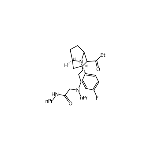 CCCNC(=O)CN(CCC)CCCN1C2CC[C@@H]1C[C@@H](c1ccc(F)cc1)C2C(=O)CC